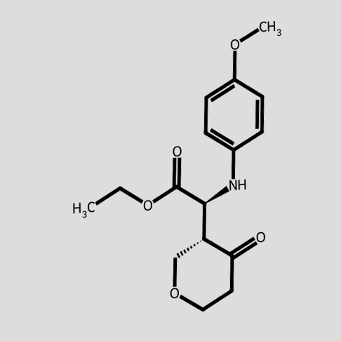 CCOC(=O)[C@@H](Nc1ccc(OC)cc1)[C@H]1COCCC1=O